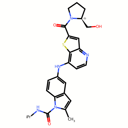 Cc1cc2cc(Nc3ccnc4cc(C(=O)N5CCC[C@H]5CO)sc34)ccc2n1C(=O)NC(C)C